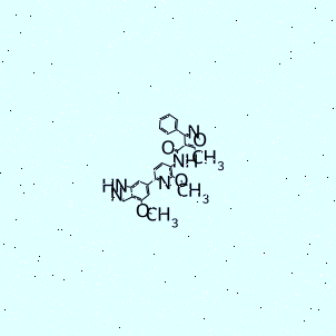 COc1nc(-c2cc(OC)c3cn[nH]c3c2)ccc1NC(=O)c1c(-c2ccccc2)noc1C